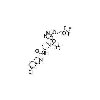 CC(C)(C)OC(=O)N1C[C@@H](NC(=O)c2cc3ccc(Cl)cc3cn2)CC[C@@H]1c1nnc(OCCOC(F)(F)F)o1